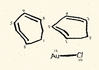 C1=CCC=C1.C1=CCC=C1.[Cl][Au]